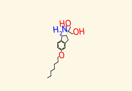 CCCCCCCOc1ccc2c(c1)C[C@@H](C(N)(CO)CO)C2